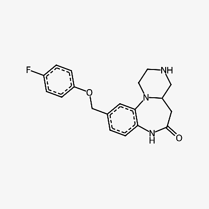 O=C1CC2CNCCN2c2cc(COc3ccc(F)cc3)ccc2N1